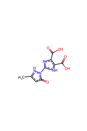 Cc1cc(=O)n(-c2nc(C(=O)O)c(C(=O)O)[nH]2)[nH]1